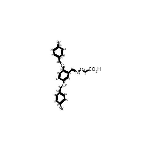 O=C(O)CO/N=C/c1cc(OCc2ccc(Br)cc2)ccc1OCc1ccc(Br)cc1